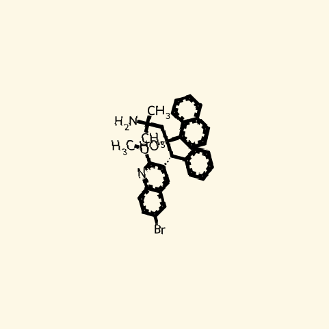 COc1nc2ccc(Br)cc2cc1[C@@H](c1ccccc1)[C@@](O)(CC(C)(C)N)c1cccc2ccccc12